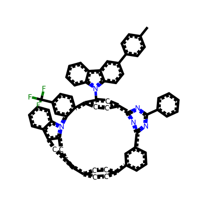 Cc1ccc(-c2ccc3c(c2)c2ccccc2n3-c2cc3ccc2c2ccc(C(F)(F)F)cc2n2c4ccccc4c4cc(ccc42)c2ccc(cc2)c2cccc(c2)c2nc(-c4ccccc4)nc3n2)cc1